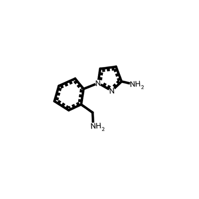 NCc1ccccc1-n1ccc(N)n1